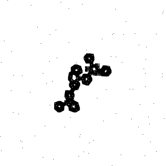 C1=Cc2cc(-c3ccc4c(c3)c3ccccc3n4-c3ccccc3)ccc2N(c2cccc(C3NC(c4ccccc4)=NC(c4ccccc4)N3)c2)c2ccccc21